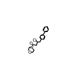 O=C(CC(Cl)Cc1ccc(-c2ccccc2)cc1)N1CCOCC1